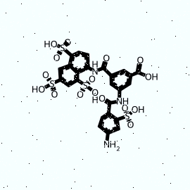 Nc1ccc(C(=O)Nc2cc(C(=O)O)cc(C(=O)Nc3ccc(S(=O)(=O)O)c4cc(S(=O)(=O)O)cc(S(=O)(=O)O)c34)c2)c(S(=O)(=O)O)c1